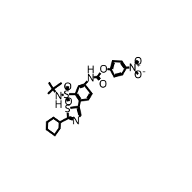 CC(C)(C)NS(=O)(=O)c1cc(NC(=O)Oc2ccc([N+](=O)[O-])cc2)ccc1-c1cnc(C2CCCCC2)s1